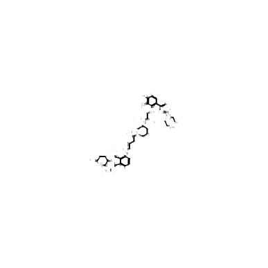 O=C1CCC(N2C(=O)c3cccc(NCCCC(=O)N4CCCC(NC(=O)COc5c(-c6csc(N7CCOCC7)n6)ccc(F)c5F)C4)c3C2=O)C(=O)N1